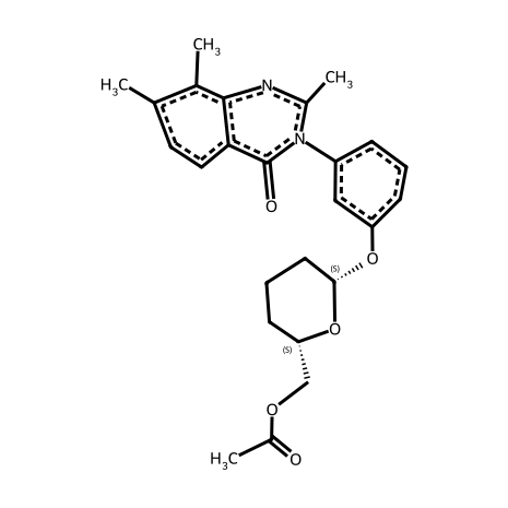 CC(=O)OC[C@@H]1CCC[C@H](Oc2cccc(-n3c(C)nc4c(C)c(C)ccc4c3=O)c2)O1